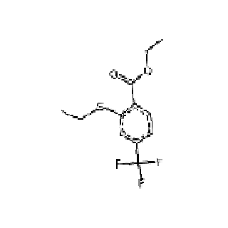 CCOC(=O)c1ccc(C(F)(F)F)cc1SCC